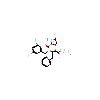 NC(=O)C(=O)C(Cc1ccccc1)N(Cc1cc(F)cc(F)c1)C(=O)[C@@H]1CCC(=O)N1